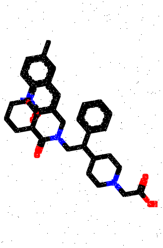 Cc1ccc2[nH]c(=O)c(CN(CC(c3ccccc3)C3CCN(CC(=O)O)CC3)C(=O)C3CCCCC3)cc2c1